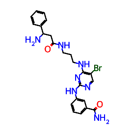 NC(=O)c1cccc(Nc2ncc(Br)c(NCCCNC(=O)CC(N)c3ccccc3)n2)c1